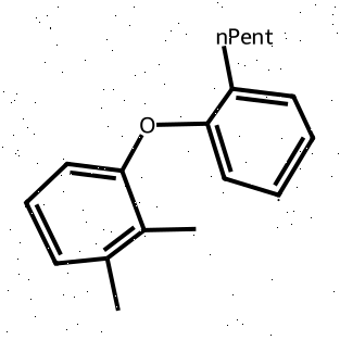 CCCCCc1cc[c]cc1Oc1cccc(C)c1C